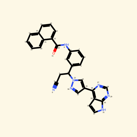 N#CCC(c1cccc(NC(=O)c2cccc3ccccc23)c1)n1cc(-c2ncnc3[nH]ccc23)cn1